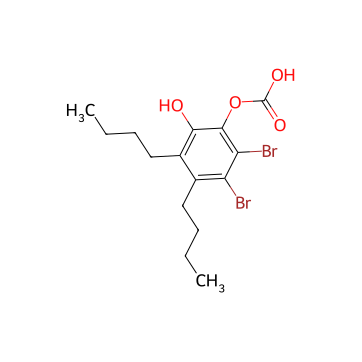 CCCCc1c(O)c(OC(=O)O)c(Br)c(Br)c1CCCC